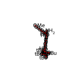 COCCOCCOCCOCCOCCOCCC(=O)N[C@H](CCCCN)C(=O)NCCOCCOCCOCCOCCOCCNC(=O)CCC(C(=O)OC(C)(C)C)N1CCN(CC(=O)OC(C)(C)C)CCN(CC(=O)OC(C)(C)C)CCN(CC(=O)OC(C)(C)C)CC1